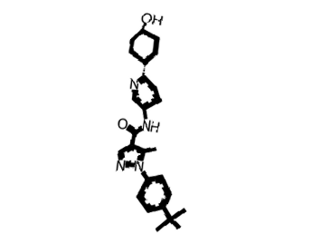 Cc1c(C(=O)Nc2ccc([C@H]3CC[C@H](O)CC3)nc2)cnn1-c1ccc(C(C)(C)C)cc1